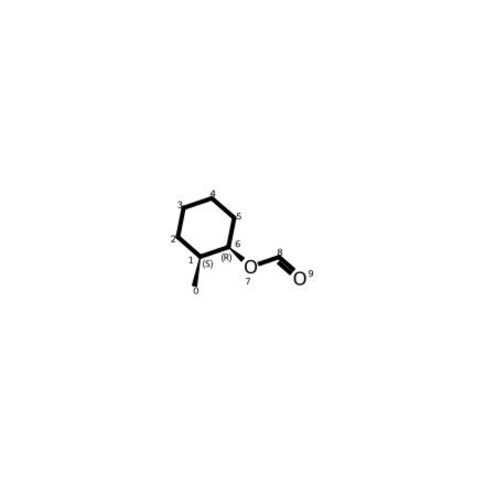 C[C@H]1CCCC[C@H]1OC=O